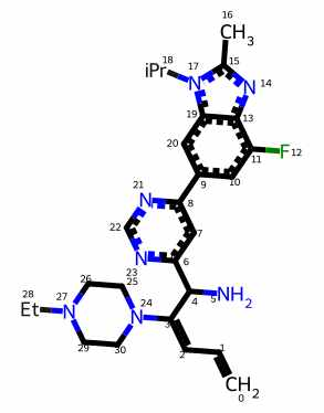 C=C/C=C(\C(N)c1cc(-c2cc(F)c3nc(C)n(C(C)C)c3c2)ncn1)N1CCN(CC)CC1